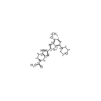 COc1ccc(N2CCOCC2)c2sc(-c3nc4c([nH]3)CCN(C(C)=O)C4)nc12